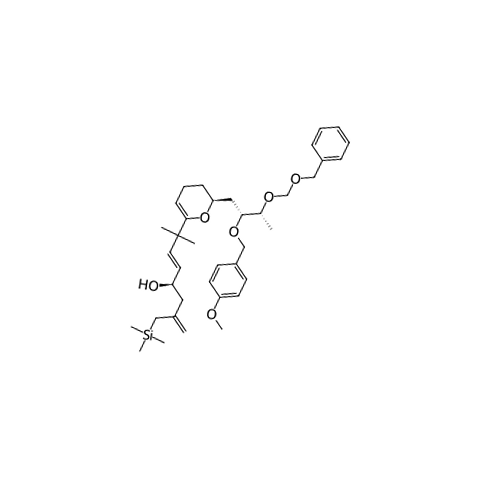 C=C(C[C@@H](O)/C=C/C(C)(C)C1=CCC[C@@H](C[C@@H](OCc2ccc(OC)cc2)[C@@H](C)OCOCc2ccccc2)O1)C[Si](C)(C)C